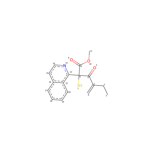 C=C(CC)C(=O)C(S)(C(=O)OC)c1nccc2ccccc12